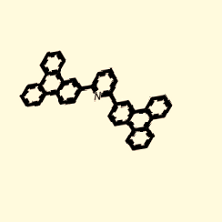 c1cc(-c2ccc3c4ccccc4c4ccccc4c3c2)nc(-c2ccc3c4ccccc4c4ccccc4c3c2)c1